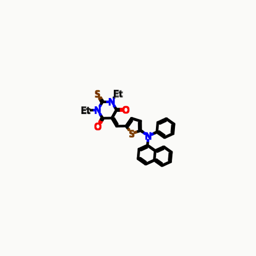 CCN1C(=O)C(=Cc2ccc(N(c3ccccc3)c3cccc4ccccc34)s2)C(=O)N(CC)C1=S